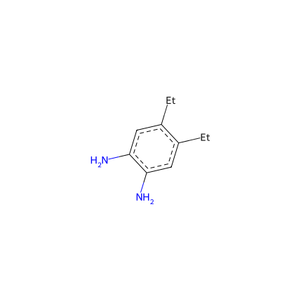 CCc1cc(N)c(N)cc1CC